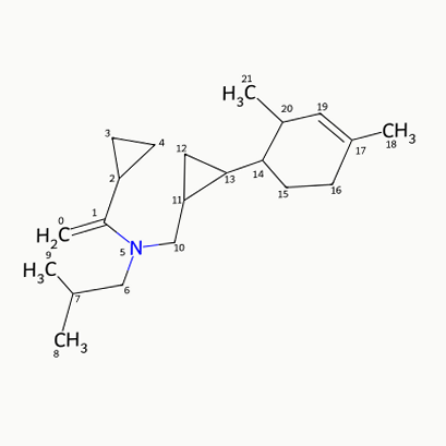 C=C(C1CC1)N(CC(C)C)CC1CC1C1CCC(C)=CC1C